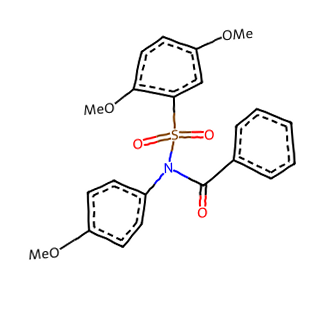 COc1ccc(N(C(=O)c2ccccc2)S(=O)(=O)c2cc(OC)ccc2OC)cc1